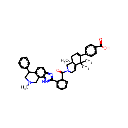 CN1Cc2c(ccc3nc(-c4ccccc4C(=O)N4CC=C5C(C)(C)C(c6ccc(C(=O)O)cc6)=CC[C@]5(C)C4)[nH]c23)C(c2ccccc2)C1